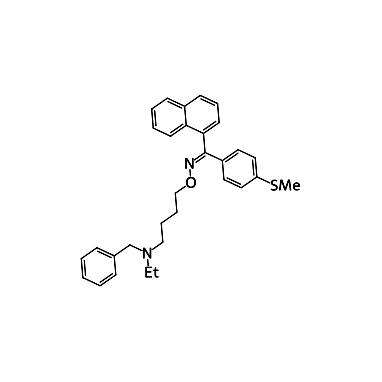 CCN(CCCCON=C(c1ccc(SC)cc1)c1cccc2ccccc12)Cc1ccccc1